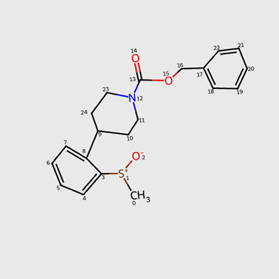 C[S+]([O-])c1ccccc1C1CCN(C(=O)OCc2ccccc2)CC1